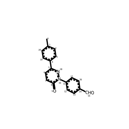 Cc1ccc(-c2ccc(=O)n(-c3ccc(C=O)cc3)n2)cc1